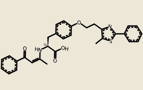 CC(=CC(=O)c1ccccc1)N[C@@H](Cc1ccc(OCCc2nc(-c3ccccc3)sc2C)cc1)C(=O)O